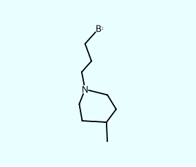 [B]CCCN1CCC(C)CC1